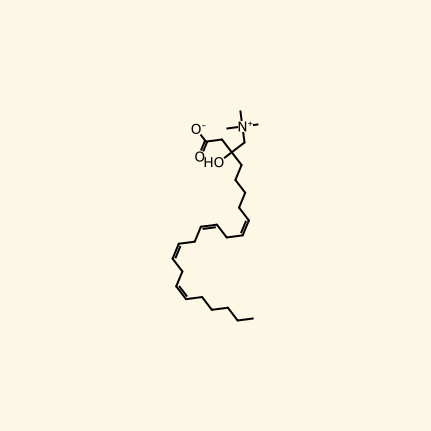 CCCCC/C=C\C/C=C\C/C=C\C/C=C\CCCCC(O)(CC(=O)[O-])C[N+](C)(C)C